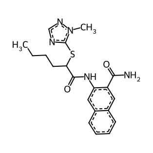 CCCCC(Sc1ncnn1C)C(=O)Nc1cc2ccccc2cc1C(N)=O